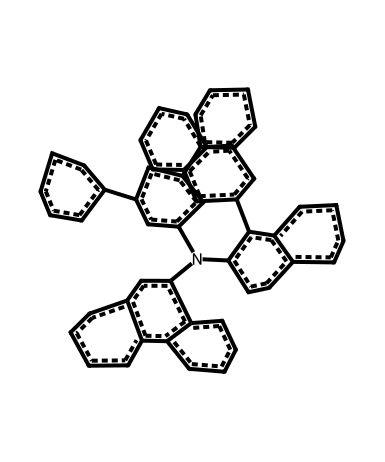 c1ccc(-c2cc(-c3ccccc3)cc(N(c3ccc4ccccc4c3-c3ccc4ccccc4c3)c3cc4ccccc4c4ccccc34)c2)cc1